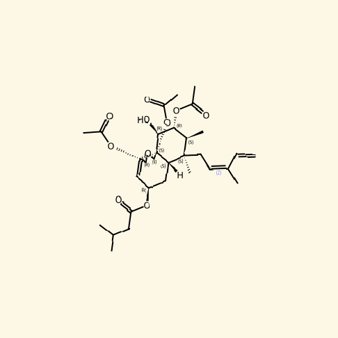 C=C/C(C)=C\C[C@]1(C)[C@H](C)[C@@H](OC(C)=O)[C@H](O)[C@@]23C(=C[C@H](OC(=O)CC(C)C)C[C@@H]12)[C@@H](OC(C)=O)O[C@H]3OC(C)=O